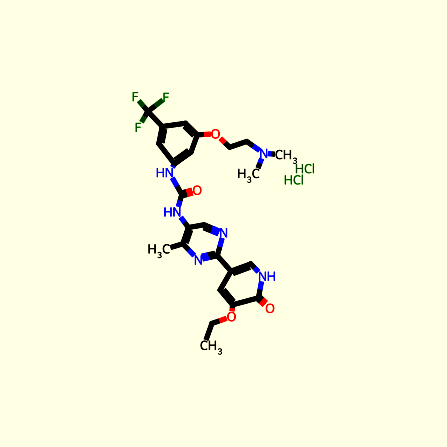 CCOc1cc(-c2ncc(NC(=O)Nc3cc(OCCN(C)C)cc(C(F)(F)F)c3)c(C)n2)c[nH]c1=O.Cl.Cl